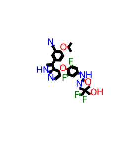 CC(C)Oc1ccc(-c2c[nH]c3nccc(Oc4c(F)cc(NC5=NCC(CO)(C(F)F)CO5)cc4F)c23)cc1C#N